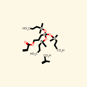 C=C(C)C(=O)O.C=CC(=O)OCCC[Si](O[Si](C)(C)CCC(=O)O)(O[Si](C)(C)CCC(=O)O)O[Si](C)(C)CCC(=O)O